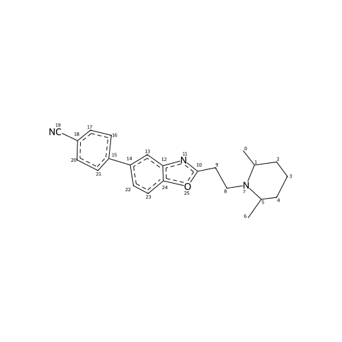 CC1CCCC(C)N1CCc1nc2cc(-c3ccc(C#N)cc3)ccc2o1